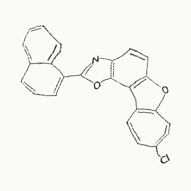 Clc1ccc2c(c1)oc1ccc3nc(-c4cccc5ccccc45)oc3c12